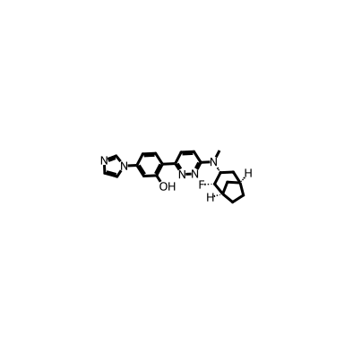 CN(c1ccc(-c2ccc(-n3ccnc3)cc2O)nn1)[C@@H]1C[C@H]2CC[C@H](C2)[C@@H]1F